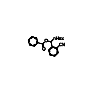 CCCCCCC(OC(=O)c1ccccc1)c1ccccc1C#N